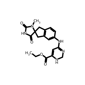 CCOC(=O)C1=CC(Nc2ccc3c(c2)CC2(C3)C(=O)NC(=O)N2C)=NCN1